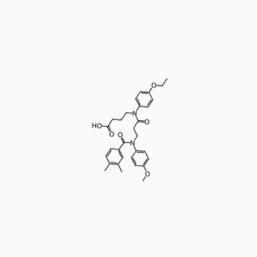 CCOc1ccc(N(CCCC(=O)O)C(=O)CCN(C(=O)c2ccc(C)c(C)c2)c2ccc(OC)cc2)cc1